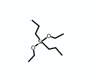 [CH2]CC[Si](CCC)(OCC)OCC